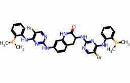 CP(C)c1ccccc1Nc1nc(Nc2ccc3c(c2)NC(=O)C(Nc2ncc(Br)c(Nc4ccccc4P(C)C)n2)C3)ncc1Br